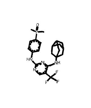 CP(C)(=O)c1ccc(Nc2ncc(C(F)(F)F)c(NC34CC5CC(C3)C(C5)C4)n2)cc1